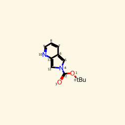 CC(C)(C)OC(=O)n1cc2cccnc2c1